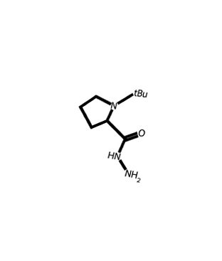 CC(C)(C)N1CCCC1C(=O)NN